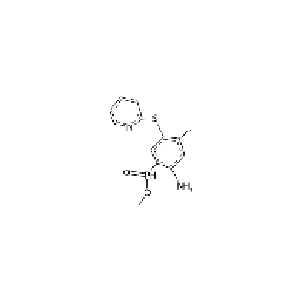 CO[PH](=O)c1cc(Sc2ccccn2)c(C)cc1N